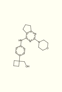 OCC1(c2ccc(Nc3nc(N4CCOCC4)nc4c3CCC4)cc2)CCC1